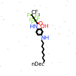 CCCCCCCCCCCCCCCCCCNc1ccc(NC(=O)C(F)(F)C(F)(F)C(F)C(F)(F)F)c(O)c1